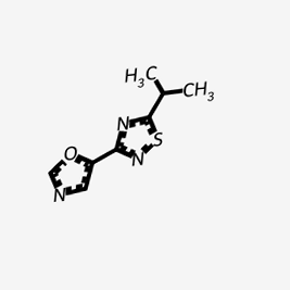 CC(C)c1nc(-c2cnco2)ns1